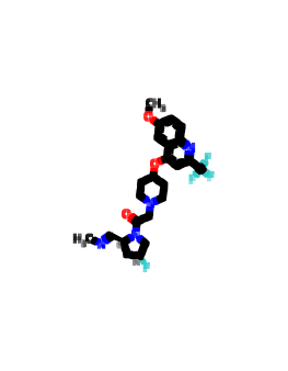 CN=C[C@@H]1C[C@H](F)CN1C(=O)CN1CCC(Oc2cc(C(F)(F)F)nc3ccc(OC)cc23)CC1